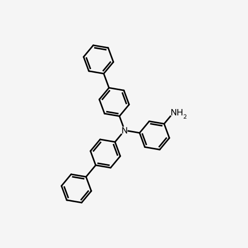 Nc1cccc(N(c2ccc(-c3ccccc3)cc2)c2ccc(-c3ccccc3)cc2)c1